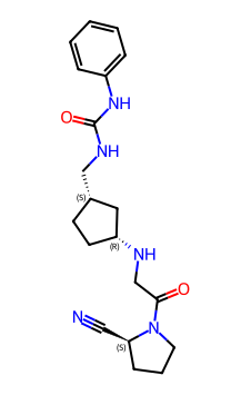 N#C[C@@H]1CCCN1C(=O)CN[C@@H]1CC[C@H](CNC(=O)Nc2ccccc2)C1